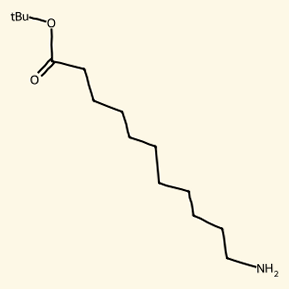 CC(C)(C)OC(=O)CCCCCCCCCCN